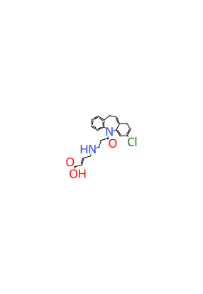 O=C(O)/C=C/CNCCC(=O)N1C2=CC(Cl)=CCC2=CCc2ccccc21